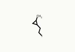 CC1CC1CCI